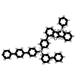 c1ccc(-c2ccc(-c3ccc(N(c4ccc(-c5cccc6c5oc5c7ccccc7n(-c7ccccc7)c65)cc4)c4cccc(-c5ccccc5)c4)cc3)cc2)cc1